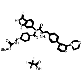 CC(C)(C)OC(=O)NC[C@H]1CC[C@H](C(=O)N(C(=O)[C@@H](N)Cc2ccc(-c3ccnc(N4CCOCC4)c3)cc2)c2ccc3c(=O)[nH][nH]c3c2)CC1.O=C(O)C(F)(F)F